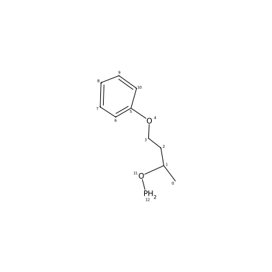 CC(CCOc1ccccc1)OP